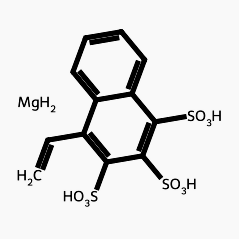 C=Cc1c(S(=O)(=O)O)c(S(=O)(=O)O)c(S(=O)(=O)O)c2ccccc12.[MgH2]